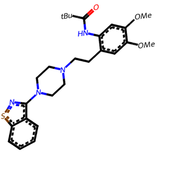 COc1cc(CCN2CCN(c3nsc4ccccc34)CC2)c(NC(=O)C(C)(C)C)cc1OC